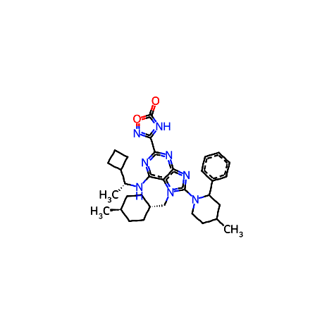 CC1CCN(c2nc3nc(-c4noc(=O)[nH]4)nc(N[C@H](C)C4CCC4)c3n2C[C@H]2CC[C@H](C)CC2)C(c2ccccc2)C1